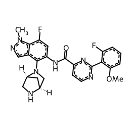 COc1cccc(F)c1-c1nccc(C(=O)Nc2cc(F)c3c(cnn3C)c2N2C[C@@H]3C[C@H]2CN3)n1